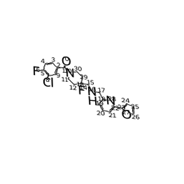 O=C(c1ccc(F)c(Cl)c1)N1CCC(F)(CNCc2cccc(-c3ccco3)n2)CC1